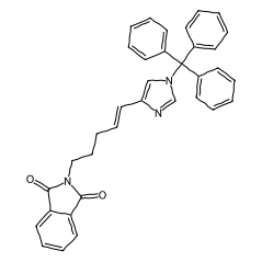 O=C1c2ccccc2C(=O)N1CCCC=Cc1cn(C(c2ccccc2)(c2ccccc2)c2ccccc2)cn1